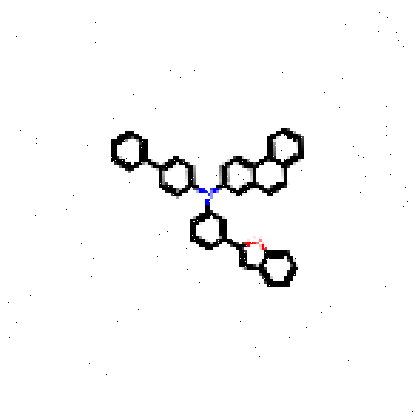 c1ccc(-c2ccc(N(c3cccc(-c4cc5ccccc5o4)c3)c3ccc4c(ccc5ccccc54)c3)cc2)cc1